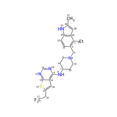 CCc1c(CN2CCC(Nc3ncnc4sc(CC(F)(F)F)cc34)CC2)ccc2[nH]c(C)cc12